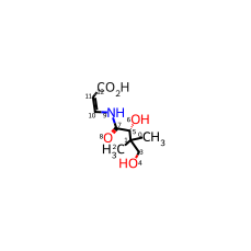 CC(C)(CO)[C@@H](O)C(=O)N/C=C\C(=O)O